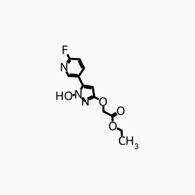 CCOC(=O)COc1cc(-c2ccc(F)nc2)n(O)n1